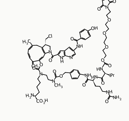 C=C1/C=C\C=C(\C)CC2=C(/C=C\1OC(=O)N(CCCC[C@H](N)C(=O)O)CCN(C)C(=O)OCc1ccc(NC(=O)[C@H](CCCNC(N)=O)NC(=O)[C@@H](NC(=O)OCCOCCOCCOCCN3C(=O)C=CC3=O)C(C)C)cc1)N(C(=O)c1cc3cc(NC(=O)c4ccc(O)cc4)cnc3[nH]1)C[C@H]2CCl